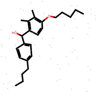 CCCCCOc1ccc(C(O)c2ccc(CCCC)cc2)c(C)c1C